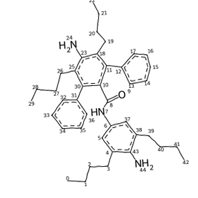 CCCCc1cc(NC(=O)c2c(-c3ccccc3)c(CCCC)c(N)c(CCCC)c2-c2ccccc2)cc(CCCC)c1N